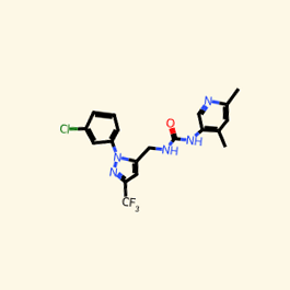 Cc1cc(C)c(NC(=O)NCc2cc(C(F)(F)F)nn2-c2cccc(Cl)c2)cn1